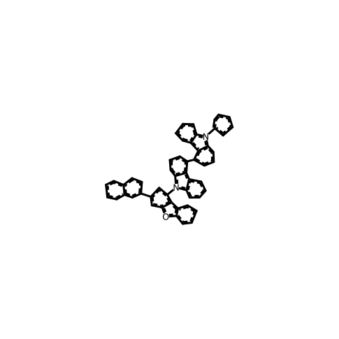 c1ccc(-n2c3ccccc3c3c(-c4cccc5c4c4ccccc4n5-c4cc(-c5ccc6ccccc6c5)cc5oc6ccccc6c45)cccc32)cc1